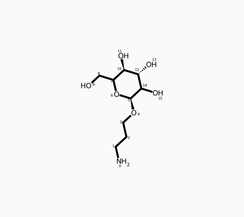 NCCCO[C@H]1OC(CO)[C@@H](O)[C@H](O)C1O